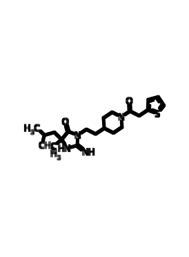 CC(C)CC1(C)NC(=N)N(CCC2CCN(C(=O)Cc3cccs3)CC2)C1=O